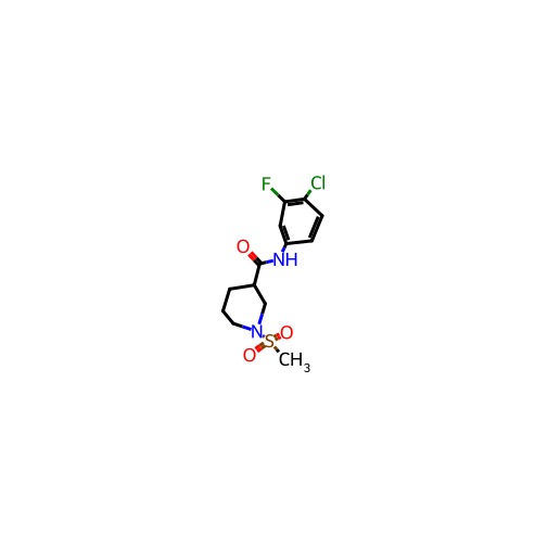 CS(=O)(=O)N1CCCC(C(=O)Nc2ccc(Cl)c(F)c2)C1